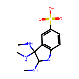 CNC1Nc2ccc(S(=O)(=O)O)cc2C1(NC)NC